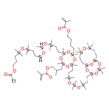 C=C(C)C(=O)OCCCC[Si]1(C)O[Si](C)(CC[Si](C)(C)O[SiH](C)O[SiH](C)CC[Si](C)(C)O[Si](C)(C)CCCOC(=O)CC)O[Si](C)(CC(C)COC(=O)C(=C)C)O[Si](C)(CC[Si](C)(C)O[Si](C)(C)O[Si](C)(C)CC[Si]2(C)O[Si](C)(C)O[Si]3(C)CC[Si](C)(C)O[Si](C)(C)CC[Si](C)(O3)O2)O1